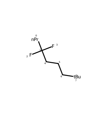 CCCC(F)(F)CCCC(C)(C)C